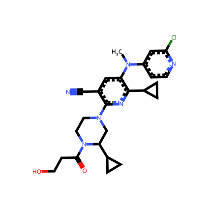 CN(c1ccnc(Cl)c1)c1cc(C#N)c(N2CCN(C(=O)CCO)C(C3CC3)C2)nc1C1CC1